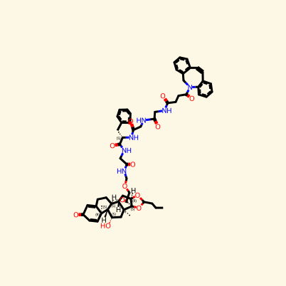 CCCC1O[C@@H]2C[C@H]3[C@@H]4CCC5=CC(=O)C=C[C@]5(C)[C@H]4[C@@H](O)C[C@]3(C)[C@]2(C(=O)COCNC(=O)CNC(=O)[C@H](Cc2ccccc2)NC(=O)CNC(=O)CNC(=O)CCC(=O)N2Cc3ccccc3C#Cc3ccccc32)O1